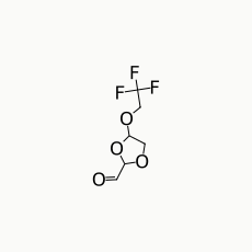 O=CC1OCC(OCC(F)(F)F)O1